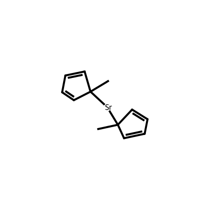 C[C]1([Sr][C]2(C)C=CC=C2)C=CC=C1